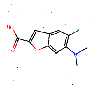 CN(C)c1cc2oc(C(=O)O)cc2cc1F